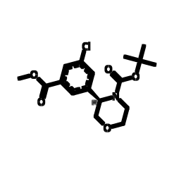 COC(=O)c1cc(Cl)cc([C@@H]2COCCN2C(=O)OC(C)(C)C)c1